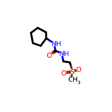 CS(=O)(=O)CCNC(=O)NC1CCCCC1